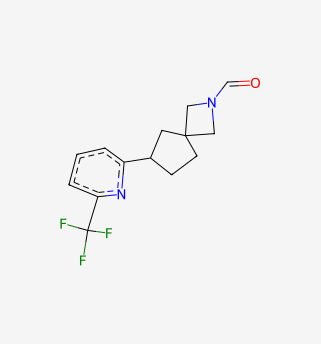 O=CN1CC2(CCC(c3cccc(C(F)(F)F)n3)C2)C1